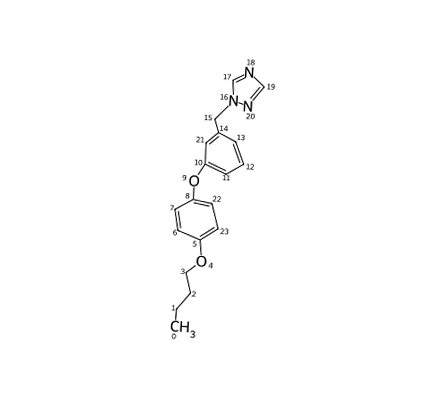 CCCCOc1ccc(Oc2cccc(Cn3cncn3)c2)cc1